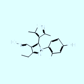 CCc1nn(-c2ccc(O)cc2F)c(-c2c(C)noc2C)c1/C=N/O